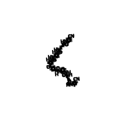 N#Cc1cccc(NC(=O)OCCCNC(=O)Nc2cccc(NC(=O)Nc3ccc(C(=O)c4ccc(NC(=O)Nc5cccc(NC(=O)NCCCOC(=O)Nc6cccc(C#N)c6)c5)cc4)cc3)c2)c1